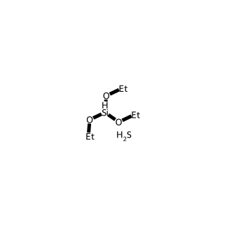 CCO[SiH](OCC)OCC.S